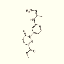 COC(=O)c1ccc(=O)n(-c2cccc(N/C(C)=N\N)c2)n1